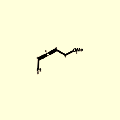 CCC=C=CCOC